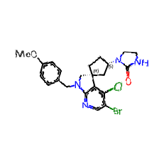 COc1ccc(CN2C[C@@]3(CC[C@H](N4CCNC4=O)C3)c3c2ncc(Br)c3Cl)cc1